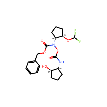 O=C(N[C@@H]1CCC[C@H]1O)ON(C(=O)OCc1ccccc1)[C@@H]1CCC[C@H]1OC(F)F